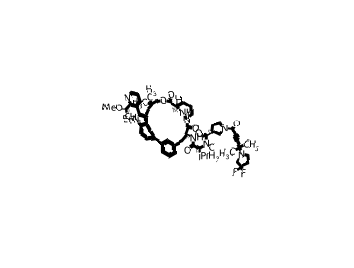 CCn1c(-c2cccnc2[C@H](C)OC)c2c3cc(ccc31)-c1cccc(c1)C[C@H](NC(=O)[C@H](C(C)C)N(C)C(=O)[C@H]1CCN(C(=O)C#CC(C)(C)N3CCC(F)(F)C3)C1)C(=O)N1CCC[C@H](N1)C(=O)OCC(C)(C)C2